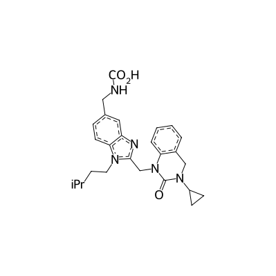 CC(C)CCn1c(CN2C(=O)N(C3CC3)Cc3ccccc32)nc2cc(CNC(=O)O)ccc21